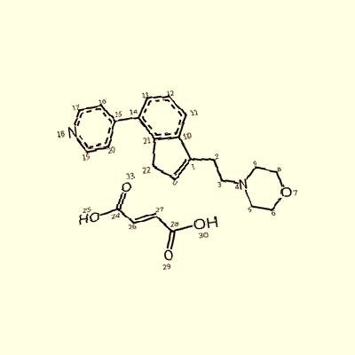 C1=C(CCN2CCOCC2)c2cccc(-c3ccncc3)c2C1.O=C(O)C=CC(=O)O